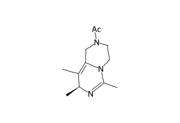 CC(=O)N1CCN2C(C)=N[C@@H](C)C(C)=C2C1